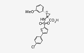 COc1cccc([C@@H]2C[C@]2(NS(=O)(=O)c2ccc(-c3ccc(Cl)cc3)s2)C(=O)O)c1